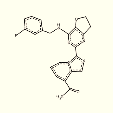 NC(=O)c1cccn2c(-c3nc4c(c(NCc5cccc(F)c5)n3)OCC4)ncc12